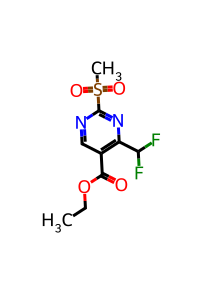 CCOC(=O)c1cnc(S(C)(=O)=O)nc1C(F)F